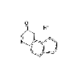 O=C1C=Nc2ccc3ccccc3c2C1.[H+]